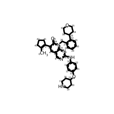 CC1=C(c2cc3cnc(Nc4ccc(OC5CCNCC5)cc4)nc3n(Cc3ccccc3C3CCOCC3)c2=O)CCC1